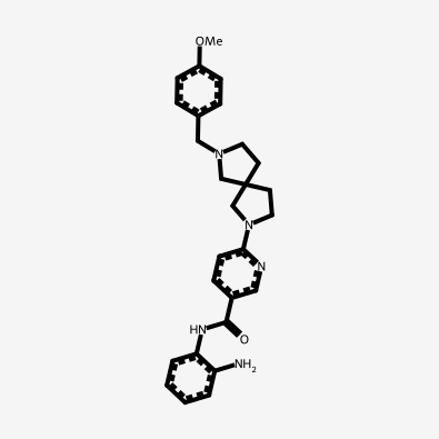 COc1ccc(CN2CCC3(CCN(c4ccc(C(=O)Nc5ccccc5N)cn4)C3)C2)cc1